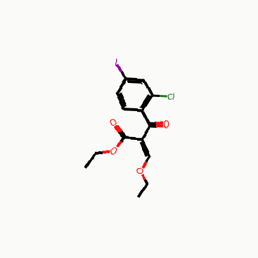 CCOC=C(C(=O)OCC)C(=O)c1ccc(I)cc1Cl